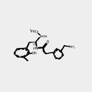 Cc1cccc(C[C@H](NC(=O)Cc2cccc(CN)c2)B(O)O)c1O